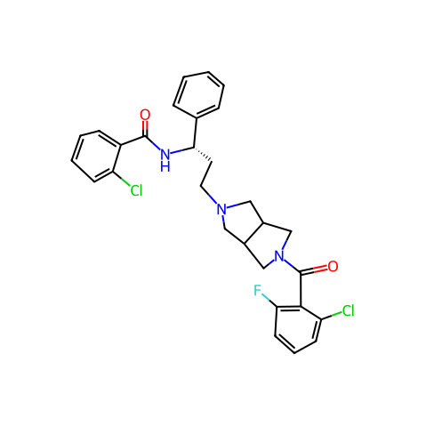 O=C(N[C@@H](CCN1CC2CN(C(=O)c3c(F)cccc3Cl)CC2C1)c1ccccc1)c1ccccc1Cl